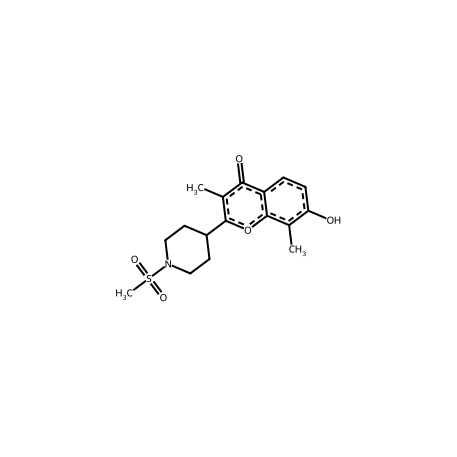 Cc1c(C2CCN(S(C)(=O)=O)CC2)oc2c(C)c(O)ccc2c1=O